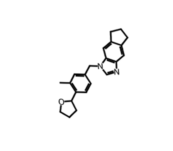 Cc1cc(Cn2cnc3cc4c(cc32)CCC4)ccc1C1CCCO1